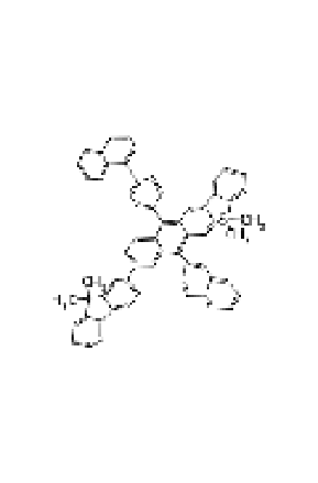 CC1(C)c2ccccc2-c2ccc(-c3ccc4c(-c5ccc(-c6cccc7ccccc67)cc5)c5cc6c(cc5c(-c5ccc7ccccc7c5)c4c3)[Si](C)(C)c3ccccc3-6)cc21